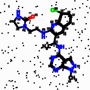 C[C@H](Nc1ncnc2c1cnn2C)c1cc2cccc(Cl)c2nc1NCCN1CCNC1=O